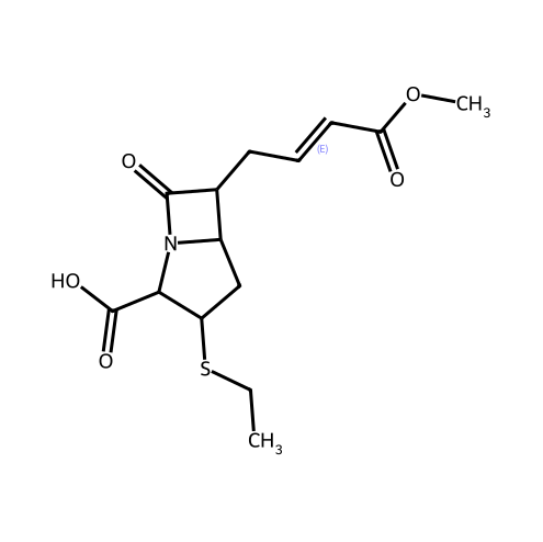 CCSC1CC2C(C/C=C/C(=O)OC)C(=O)N2C1C(=O)O